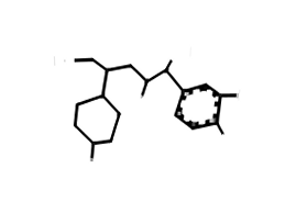 CCC(CC(F)C(C)c1ccc(F)c(F)c1)C1CCC(C)CC1